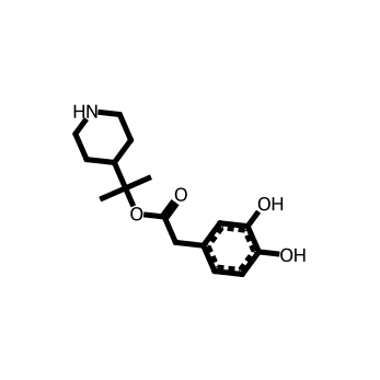 CC(C)(OC(=O)Cc1ccc(O)c(O)c1)C1CCNCC1